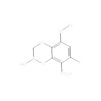 CCOc1cc(F)c(C(=O)O)c2c1OCB(O)O2